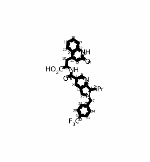 CC(C)C1c2ncc(C(=O)NC(Cc3cc(=O)[nH]c4ccccc34)C(=O)O)cc2CN1Cc1ccc(C(F)(F)F)cc1